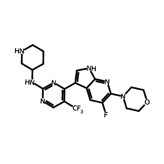 Fc1cc2c(-c3nc(NC4CCCNC4)ncc3C(F)(F)F)c[nH]c2nc1N1CCOCC1